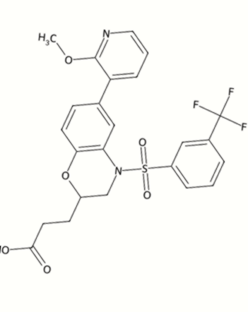 COc1ncccc1-c1ccc2c(c1)N(S(=O)(=O)c1cccc(C(F)(F)F)c1)CC(CCC(=O)O)O2